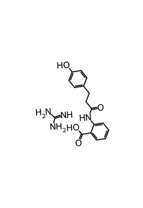 N=C(N)N.O=C(CCc1ccc(O)cc1)Nc1ccccc1C(=O)O